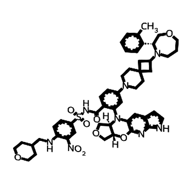 Cc1ccccc1[C@@H]1COCCCN1C1CC2(CCN(c3ccc(C(=O)NS(=O)(=O)c4ccc(NCC5CCOCC5)c([N+](=O)[O-])c4)c(N4c5cc6cc[nH]c6nc5O[C@@H]5COC[C@H]54)c3)CC2)C1